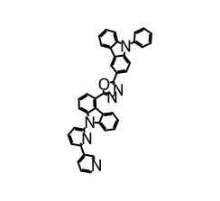 c1ccc(-n2c3ccccc3c3cc(-c4nnc(-c5cccc6c5c5ccccc5n6-c5cccc(-c6cccnc6)n5)o4)ccc32)cc1